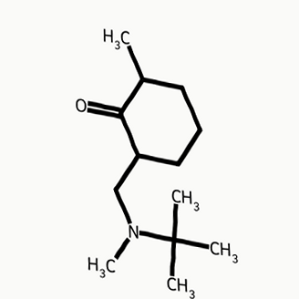 CC1CCCC(CN(C)C(C)(C)C)C1=O